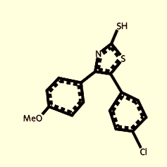 COc1ccc(-c2nc(S)sc2-c2ccc(Cl)cc2)cc1